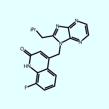 CC(C)Cc1nc2nccnc2n1Cc1cc(=O)[nH]c2c(F)cccc12